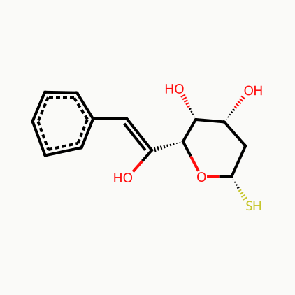 OC(=Cc1ccccc1)[C@H]1O[C@@H](S)C[C@@H](O)[C@H]1O